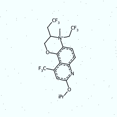 CC(C)Oc1cc(C(F)(F)F)c2c3c(ccc2n1)[N+](C)(CC(F)(F)F)C(CC(F)(F)F)CO3